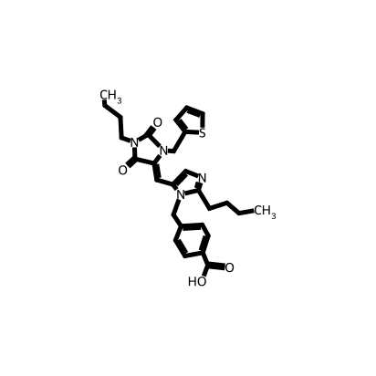 CCCCc1ncc(C=C2C(=O)N(CCCC)C(=O)N2Cc2cccs2)n1Cc1ccc(C(=O)O)cc1